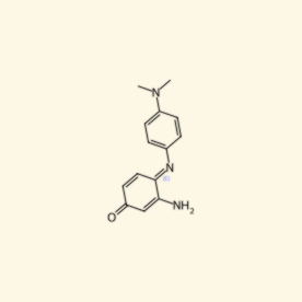 CN(C)c1ccc(/N=C2\C=CC(=O)C=C2N)cc1